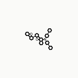 c1ccc(-c2ccc(N(c3ccc(-c4ccccc4)cc3)c3cc4c5cccc(-c6cccc7c6oc6ccccc67)c5oc4c4ccccc34)cc2)cc1